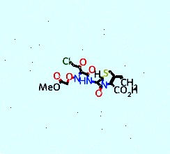 C=CC1=C(C(=O)O)N2C(=O)C(NC(=O)C(=NOCC(=O)OC)C(=O)CCl)[C@@H]2SC1